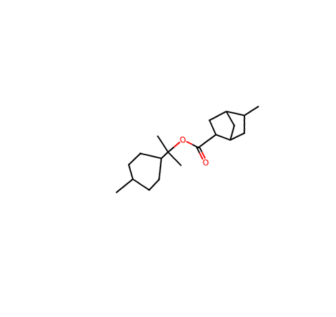 CC1CCC(C(C)(C)OC(=O)C2CC3CC2CC3C)CC1